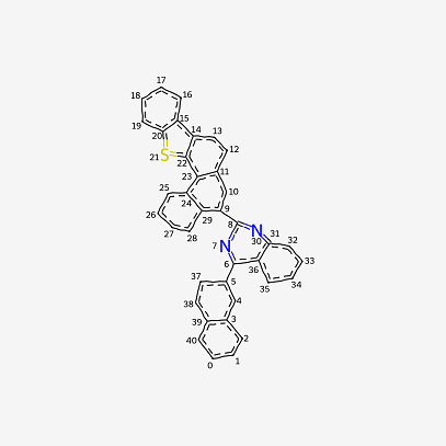 c1ccc2cc(-c3nc(-c4cc5ccc6c7ccccc7sc6c5c5ccccc45)nc4ccccc34)ccc2c1